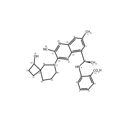 Cc1cc([C@@H](C)Nc2ccccc2C(=O)O)c2nc(N3CCCC4(CCC4O)C3)c(C#N)nc2c1